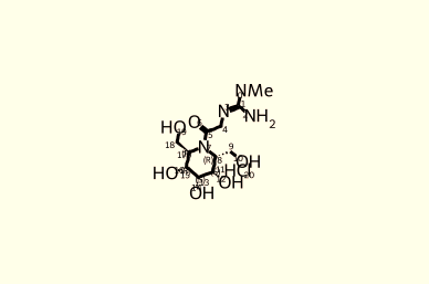 CNC(N)=NCC(=O)N1[C@H](CO)[C@H](O)[C@H](O)[C@H](O)[C@H]1CO.Cl